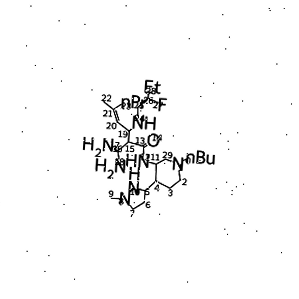 CCCCN1CCC(C2CCN(C)N2)C(NC(=O)C(C(N)N)C(/C=C(/C)CCC)NCC(F)CC)C1